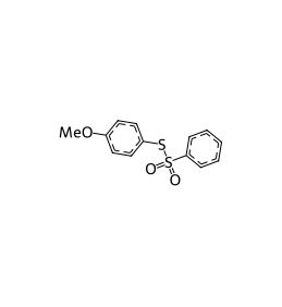 COc1ccc(SS(=O)(=O)c2ccccc2)cc1